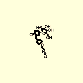 CCON=CCOc1ccc(Cc2cc([C@@H]3O[C@H](CO)[C@@H](O)[C@H](O)[C@H]3O)ccc2Cl)cc1